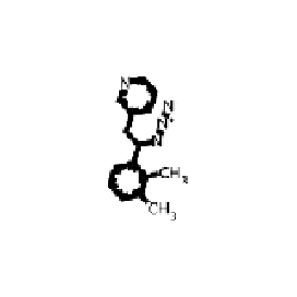 Cc1cccc(C(Cc2cccnc2)N=[N+]=[N-])c1C